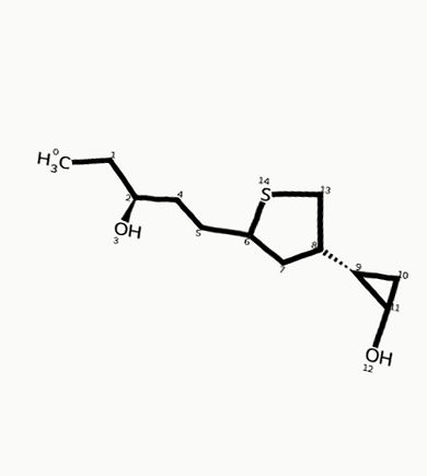 CC[C@H](O)CCC1CC([C@@H]2CC2O)CS1